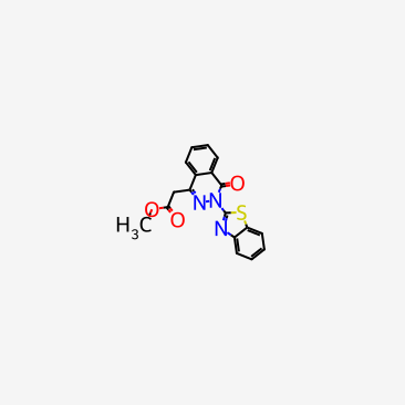 COC(=O)Cc1nn(-c2nc3ccccc3s2)c(=O)c2ccccc12